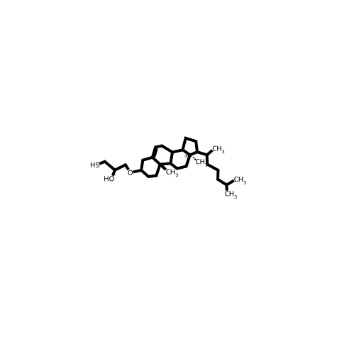 CC(C)CCCC(C)C1CCC2C3CC=C4CC(OCC(O)CS)CCC4(C)C3CC[C@]12C